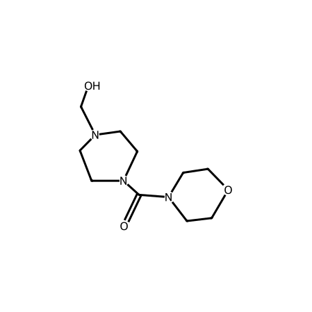 O=C(N1CCOCC1)N1CCN(CO)CC1